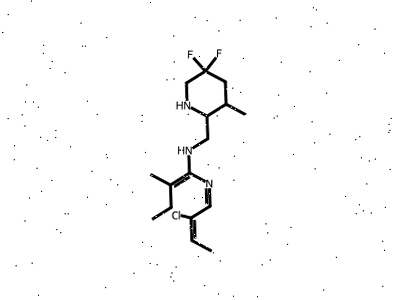 C\C=C(Cl)/C=N\C(NCC1NCC(F)(F)CC1C)=C(\C)CC